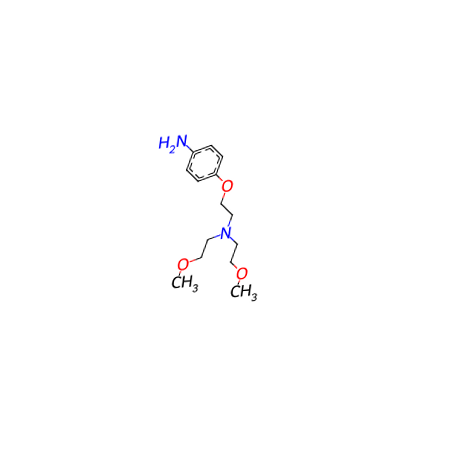 COCCN(CCOC)CCOc1ccc(N)cc1